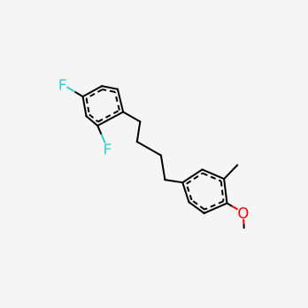 COc1ccc(CCCCc2ccc(F)cc2F)cc1C